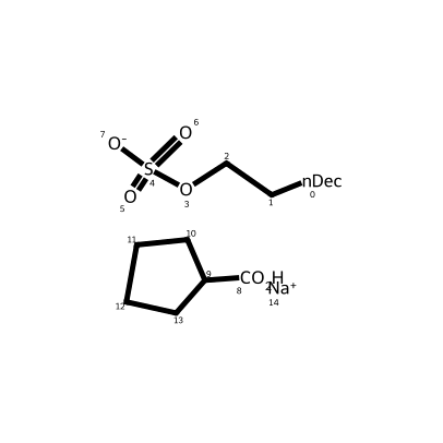 CCCCCCCCCCCCOS(=O)(=O)[O-].O=C(O)C1CCCC1.[Na+]